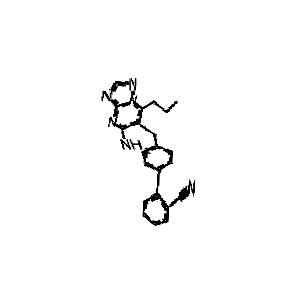 CCCc1c(Cc2ccc(-c3ccccc3C#N)cc2)c(N)nc2ncnn12